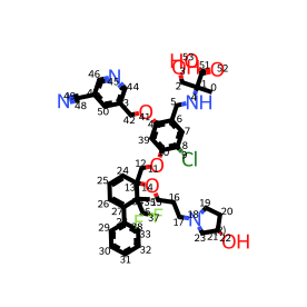 CC(CO)(NCc1cc(Cl)c(OCC2(OCCCN3CC[C@@H](O)C3)C=CC=C(c3ccccc3)C2(C)C(F)F)cc1OCc1cncc(C#N)c1)C(=O)O